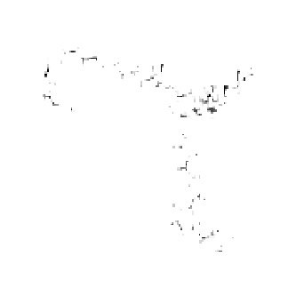 CC/C=C\C/C=C\C/C=C\CCCCCCCC(=O)OCC(COP(=O)(O)OCCNC)OC(=O)CCCCCCC/C=C\C/C=C\CCCCC